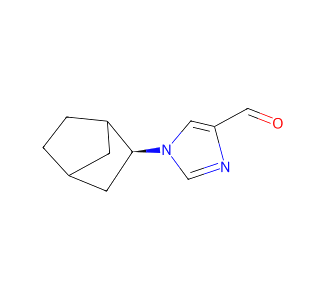 O=Cc1cn([C@H]2CC3CCC2C3)cn1